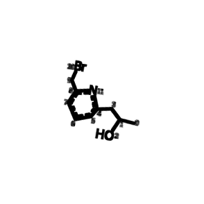 CC(O)Cc1cccc(CBr)n1